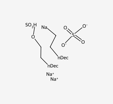 CCCCCCCCCCCCOS(=O)(=O)O.CCCCCCCCCCC[CH2][Na].O=S(=O)([O-])[O-].[Na+].[Na+]